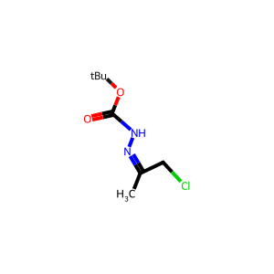 CC(CCl)=NNC(=O)OC(C)(C)C